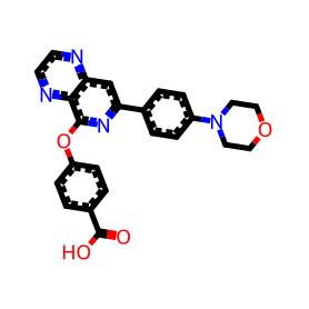 O=C(O)c1ccc(Oc2nc(-c3ccc(N4CCOCC4)cc3)cc3nccnc23)cc1